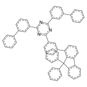 c1ccc(-c2cccc(-c3nc(-c4cccc(-c5ccccc5)c4)nc(-c4cccc(-c5cccc6c5C(c5ccccc5)(c5ccccc5)c5ccccc5-6)c4)n3)c2)cc1